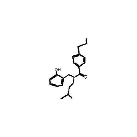 CCCc1ccc(C(=O)N(CCC(C)C)Cc2ccccc2O)cc1